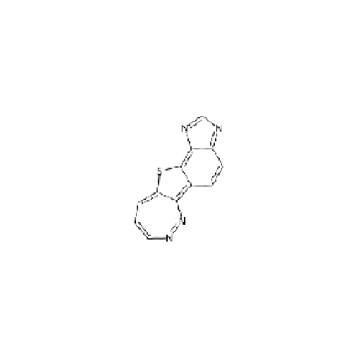 c1cnnc2c(c1)sc1c2ccc2ncnc21